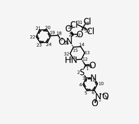 O=C(Sc1ccc([N+](=O)[O-])cn1)[C@@H]1CC[C@@H](N(OCc2ccccc2)C(=O)OC(Cl)(Cl)Cl)CN1